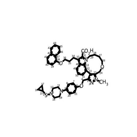 Cn1nc(COc2ccc(N3CCN(SC4CC4)CC3)cc2)c2c1COCCCCn1c(C(=O)O)c(CCCOc3cccc4ccccc34)c3cccc-2c31